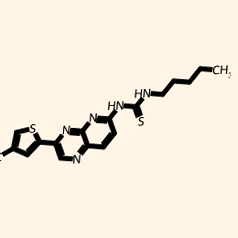 CCCCCNC(=S)Nc1ccc2ncc(-c3cc(C)cs3)nc2n1